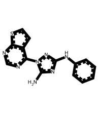 Nc1nc(Nc2ccccc2)nn1-c1ncnc2sccc12